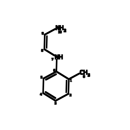 Cc1ccccc1N/C=C\N